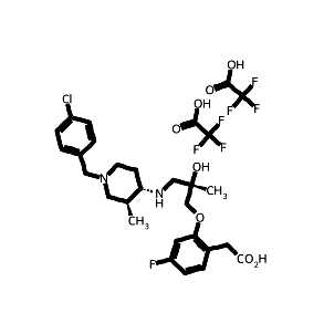 C[C@H]1CN(Cc2ccc(Cl)cc2)CC[C@@H]1NC[C@](C)(O)COc1cc(F)ccc1CC(=O)O.O=C(O)C(F)(F)F.O=C(O)C(F)(F)F